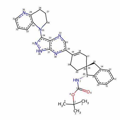 CC(C)(C)OC(=O)N[C@H]1c2ccccc2C[C@@]12CC=C(c1cnc3c(N4CCCc5ncccc54)n[nH]c3n1)CC2